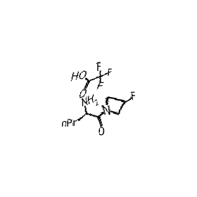 CCC[C@@H](N)C(=O)N1CC(F)C1.O=C(O)C(F)(F)F